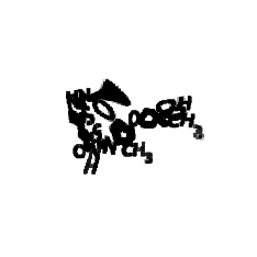 CCC1(C(=O)O)CCC(Oc2ccc(N=C3NC(=O)C(=Cc4cnc(NC(=O)C5CC5)s4)S3)c(C)c2)CC1